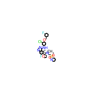 CC(N(C)CCS(=O)(=O)c1ccccn1)C1(c2cc3c(Nc4ccc(OCc5cccc(F)c5)c(Cl)c4)ncnc3cc2F)CC=CO1